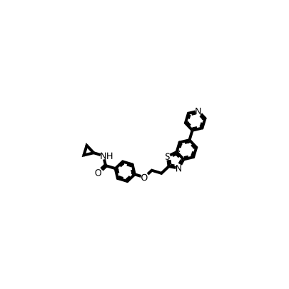 O=C(NC1CC1)c1ccc(OCCc2nc3ccc(-c4ccncc4)cc3s2)cc1